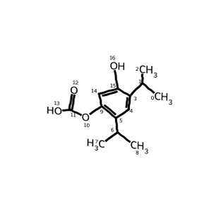 CC(C)c1cc(C(C)C)c(OC(=O)O)cc1O